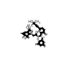 CC(C)(O)C#Cc1ccc(Br)c([C@H](Cc2cc(F)cc(F)c2)NC(=O)Cn2nc(C(F)(F)F)c3c2C(F)(F)[C@@H]2CC32)n1